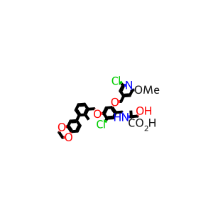 COc1cc(COc2cc(OCc3cccc(-c4ccc5c(c4)OCCO5)c3C)c(Cl)cc2CN[C@@](C)(CO)C(=O)O)cc(Cl)n1